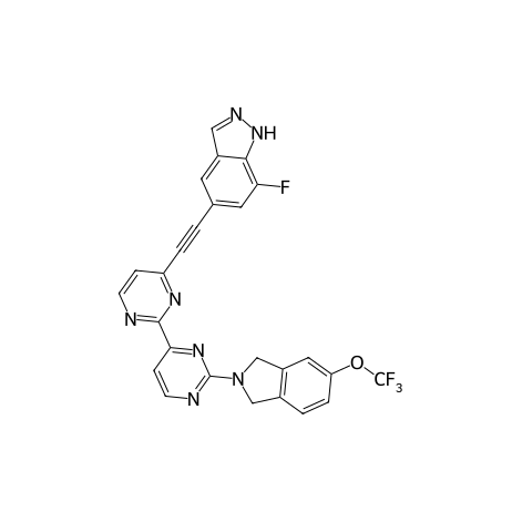 Fc1cc(C#Cc2ccnc(-c3ccnc(N4Cc5ccc(OC(F)(F)F)cc5C4)n3)n2)cc2cn[nH]c12